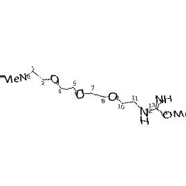 CNCCOCCOCCOCCNC(=N)OC